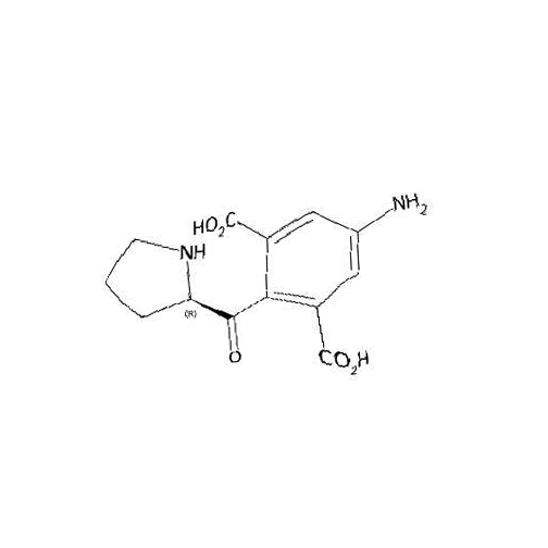 Nc1cc(C(=O)O)c(C(=O)[C@H]2CCCN2)c(C(=O)O)c1